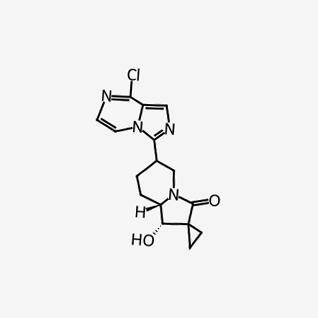 O=C1N2CC(c3ncc4c(Cl)nccn34)CC[C@H]2[C@@H](O)C12CC2